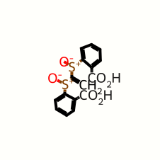 C=C([S+]([O-])c1ccccc1C(=O)O)[S+]([O-])c1ccccc1C(=O)O